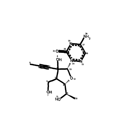 CC#CC1(O)C(CO)[C@@H]([C@@H](C)O)O[C@H]1n1ncc(N)nc1=O